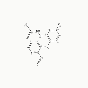 O=Cc1ccccc1Sc1ncc(Cl)cc1CNC(=O)O